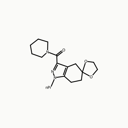 CCCn1nc(C(=O)N2CCCCC2)c2c1CCC1(C2)OCCO1